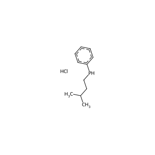 CC(C)CCPc1ccccc1.Cl